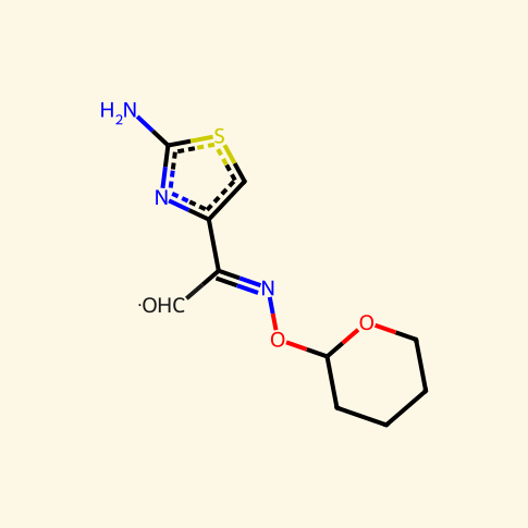 Nc1nc(/C([C]=O)=N/OC2CCCCO2)cs1